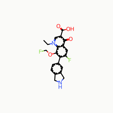 CCn1cc(C(=O)O)c(=O)c2cc(F)c(-c3ccc4c(c3)CNC4)c(OCF)c21